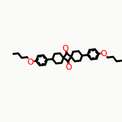 CCCCOc1ccc(C2CCC3(CC2)C(=O)C2(CCC(c4ccc(OCCCC)cc4)CC2)C3=O)cc1